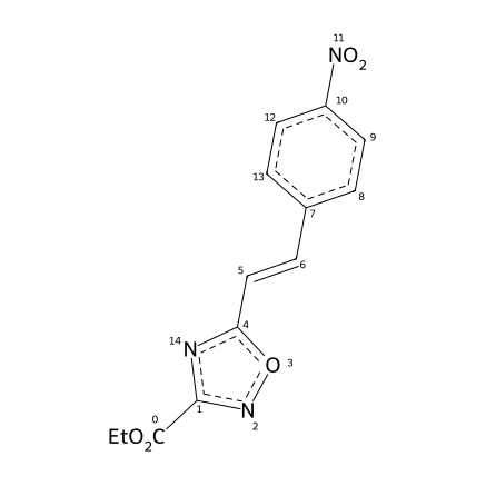 CCOC(=O)c1noc(/C=C/c2ccc([N+](=O)[O-])cc2)n1